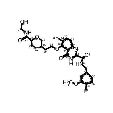 COc1cc(CNC(=O)c2nc3ccc(F)c(OCCC4COC(C(=O)NCO)CO4)c3c(=O)[nH]2)ccc1F